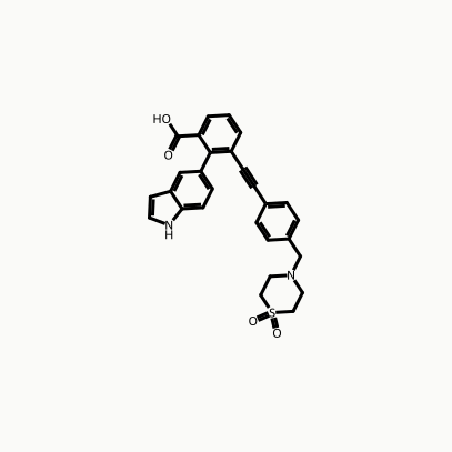 O=C(O)c1cccc(C#Cc2ccc(CN3CCS(=O)(=O)CC3)cc2)c1-c1ccc2[nH]ccc2c1